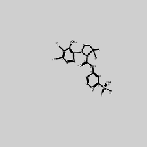 COc1c(N2CCC(C)(C)C2C(=O)Nc2ccnc([S@](C)(=N)=O)c2)ccc(F)c1F